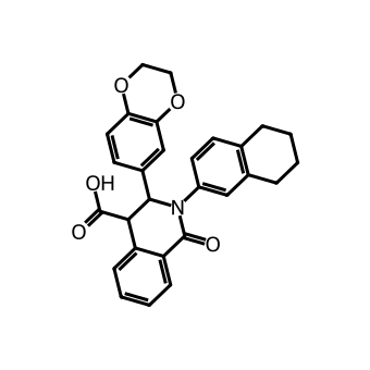 O=C(O)C1c2ccccc2C(=O)N(c2ccc3c(c2)CCCC3)C1c1ccc2c(c1)OCCO2